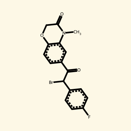 CN1C(=O)COc2ccc(C(=O)C(Br)c3ccc(F)cc3)cc21